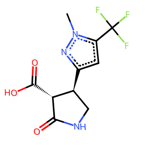 Cn1nc([C@H]2CNC(=O)[C@@H]2C(=O)O)cc1C(F)(F)F